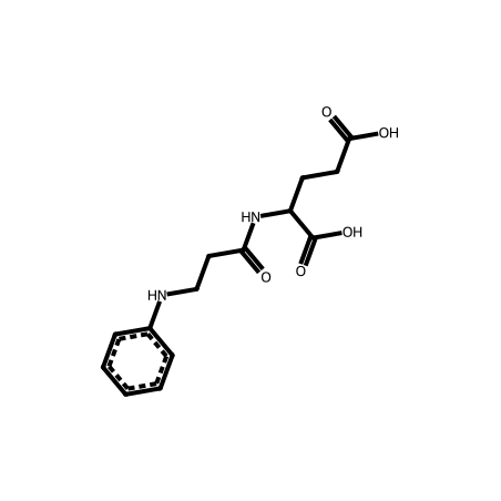 O=C(O)CCC(NC(=O)CCNc1ccccc1)C(=O)O